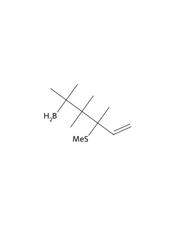 BC(C)(C)C(C)(C)C(C)(C=C)SC